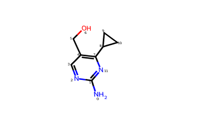 Nc1ncc(CO)c(C2CC2)n1